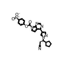 N#CC[C@H](C1CCCC1)n1cc(-c2ncnc3c2ccn3C(=O)Oc2ccc([N+](=O)[O-])cc2)cn1